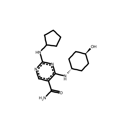 NC(=O)c1cnc(NC2CCCC2)nc1N[C@H]1CC[C@H](O)CC1